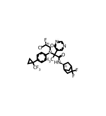 CC(C(=O)N[C@H]1CC2CC1CC2(F)F)(c1cncnc1)N(C(=O)[C@H](F)Cl)c1ccc(C2(C(F)(F)F)CC2)cc1